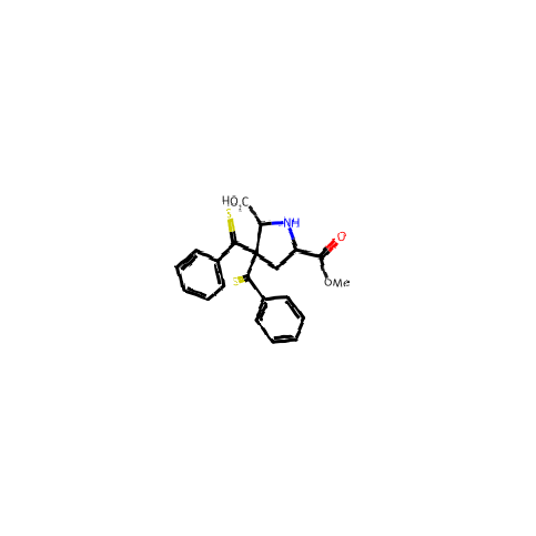 COC(=O)C1CC(C(=S)c2ccccc2)(C(=S)c2ccccc2)C(C(=O)O)N1